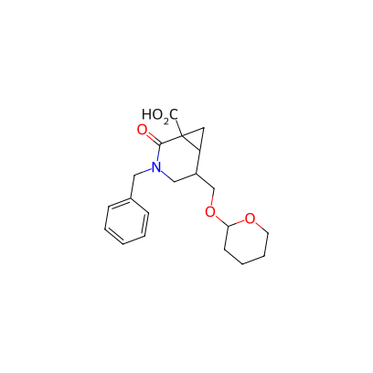 O=C(O)C12CC1C(COC1CCCCO1)CN(Cc1ccccc1)C2=O